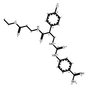 CCOC(=O)CCNC(=O)C(CNC(=O)Nc1ccc(C(=N)N)cc1)c1ccc(Cl)cc1